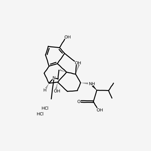 CC(C)[C@H](N[C@@H]1CC[C@@]2(O)[C@H]3Cc4ccc(O)c5c4[C@@]2(CCN3C)[C@H]1O5)C(=O)O.Cl.Cl